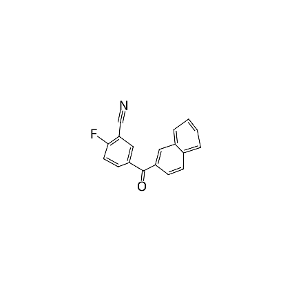 N#Cc1cc(C(=O)c2ccc3ccccc3c2)ccc1F